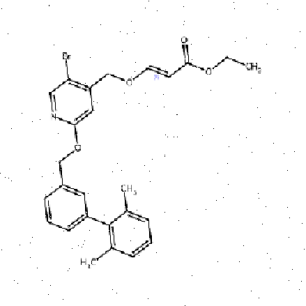 CCOC(=O)/C=C/OCc1cc(OCc2cccc(-c3c(C)cccc3C)c2)ncc1Br